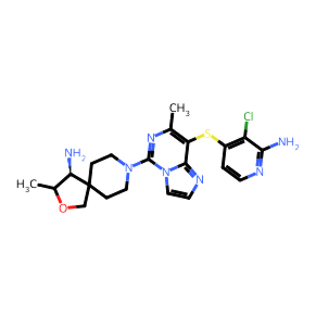 Cc1nc(N2CCC3(CC2)COC(C)[C@H]3N)n2ccnc2c1Sc1ccnc(N)c1Cl